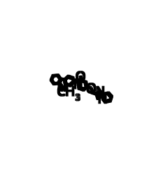 Cn1c2c(c3ccc(-n4ccc(OCc5cn6ccccc6n5)cc4=O)cc31)CCCC2